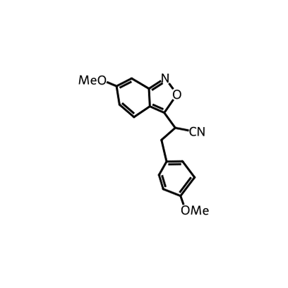 COc1ccc(CC(C#N)c2onc3cc(OC)ccc23)cc1